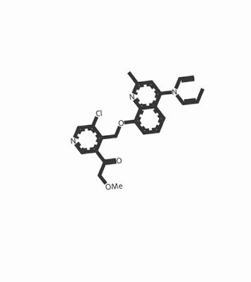 C=CN(/C=C\C)c1cc(C)nc2c(OCc3c(Cl)cncc3C(=O)COC)cccc12